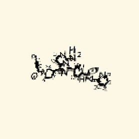 CC#CC(=O)N1CCC(c2nc(-c3ccc(C(=O)Nc4ccccn4)nc3)n3c(N)nccc23)C1